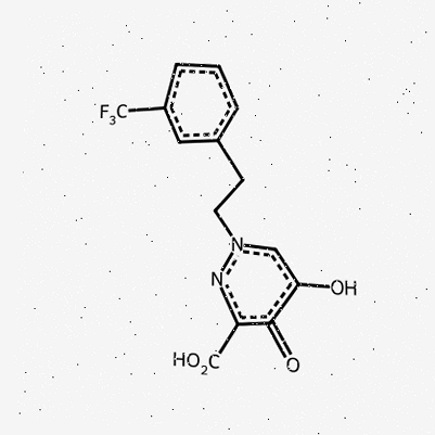 O=C(O)c1nn(CCc2cccc(C(F)(F)F)c2)cc(O)c1=O